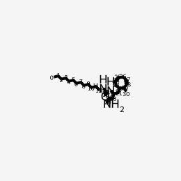 CCCCCCCCCCCCCNC(=O)NC(/C=C/N)CC1C/C=C\CC#CC1C